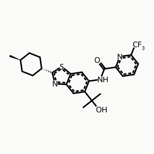 CC(C)(O)c1cc2nc([C@H]3CC[C@H](C)CC3)sc2cc1NC(=O)c1cccc(C(F)(F)F)n1